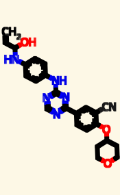 C=CC(O)Nc1ccc(Nc2ncnc(-c3ccc(OC4CCOCC4)c(C#N)c3)n2)cc1